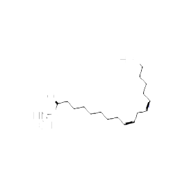 CCCCC/C=C\C/C=C\CCCCCCCC(=O)ONC